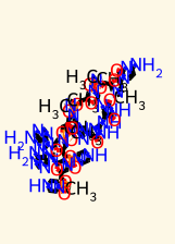 CN1CC(COP(=O)(N(C)C)N2CC3COP(=O)(N(C)C)N4CC(COP(=O)(N(C)C)N5CC(COP(=O)(N6CCNCC6)N6CC(COP(C)(=O)N7CCNCC7)OC(n7cnc8c(N)ncnc87)C6)OC(n6cnc7c(N)ncnc76)C5)OC(C4)n4cnc5c(=O)[nH]c(nc54)Nc4cn(c(=O)[nH]c4=O)C(C2)O3)OC(n2ccc(N)nc2=O)C1